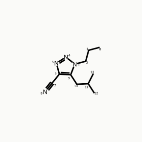 CCCn1nnc(C#N)c1CC(C)C